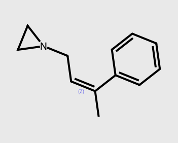 C/C(=C/CN1CC1)c1ccccc1